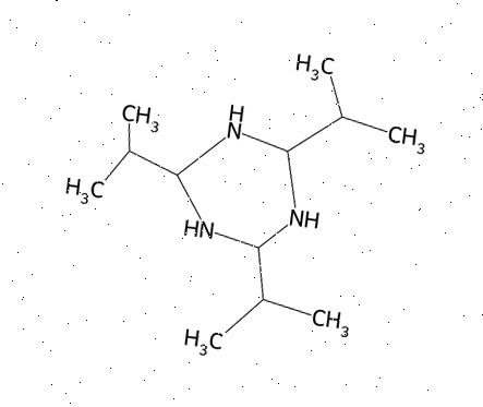 CC(C)C1NC(C(C)C)NC(C(C)C)N1